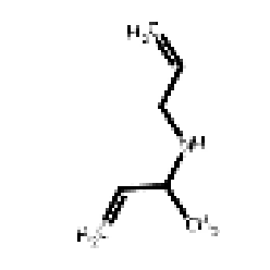 C=CCNC(C)C=C